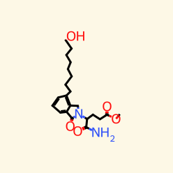 COC(=O)CCC(C(N)=O)N1Cc2c(CCCCCCCCO)cccc2C1=O